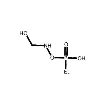 CCP(=O)(O)ONCO